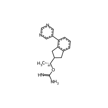 C[C@@H](OC(=N)N)C1Cc2cccc(-c3cncnc3)c2C1